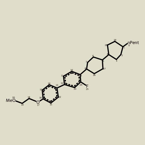 CCCCCC1CCC(C2CCC(c3ccc(-c4ccc(OCCOC)cc4)cc3F)CC2)CC1